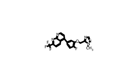 Cn1ncnc1COc1cc(-c2ccnc3nc(C(F)(F)F)ccc23)ccc1F